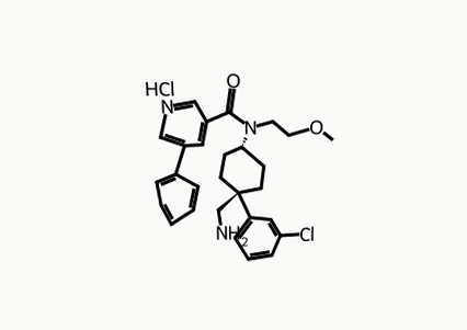 COCCN(C(=O)c1cncc(-c2ccccc2)c1)[C@H]1CC[C@@](CN)(c2cccc(Cl)c2)CC1.Cl